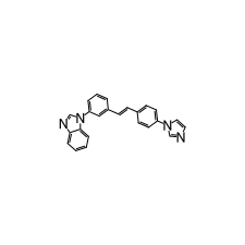 C(=C\c1cccc(-n2cnc3ccccc32)c1)/c1ccc(-n2ccnc2)cc1